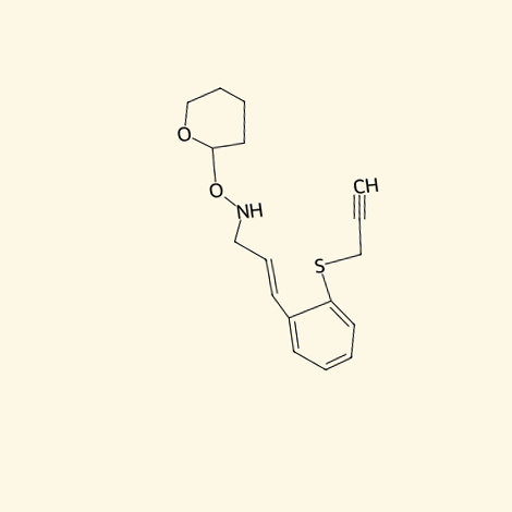 C#CCSc1ccccc1C=CCNOC1CCCCO1